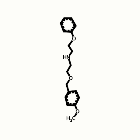 COc1ccc(COCCNCCOc2ccccc2)cc1